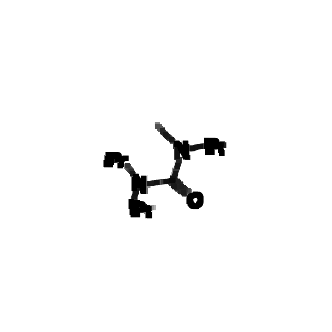 CC(C)N(C)C(=O)N(C(C)C)C(C)C